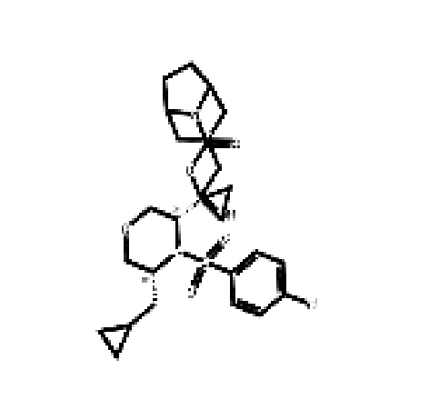 O=C(OC1([C@H]2COC[C@@H](CC3CC3)N2S(=O)(=O)c2ccc(Cl)cc2)CC1)N1C2CCC1CN(CCO)C2